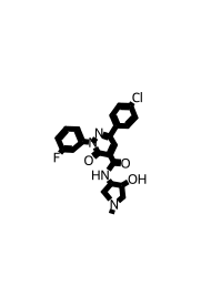 CN1CC(O)C(NC(=O)c2cc(-c3ccc(Cl)cc3)nn(-c3cccc(F)c3)c2=O)C1